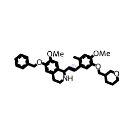 COc1cc2c(cc1OCc1ccccc1)CCNC2/C=C/c1cc(OCC2CCCOC2)c(OC)cc1C